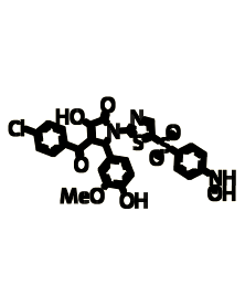 COc1cc(C2C(C(=O)c3ccc(Cl)cc3)=C(O)C(=O)N2c2ncc(S(=O)(=O)c3ccc(NO)cc3)s2)ccc1O